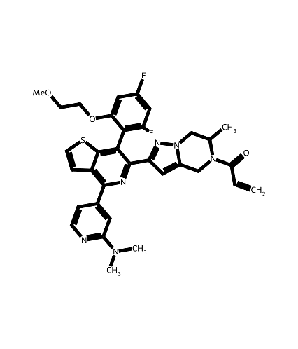 C=CC(=O)N1Cc2cc(-c3nc(-c4ccnc(N(C)C)c4)c4ccsc4c3-c3c(F)cc(F)cc3OCCOC)nn2CC1C